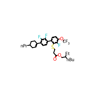 CCCCC(CC)COC(=O)CCSc1c(-c2ccc(C3=CCC(CCC)CC3)c(F)c2F)ccc(OC(F)(F)F)c1F